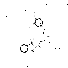 COc1ccc(CCN(C)CCC(C)N2C(=O)c3ccccc3C2=O)cc1OC